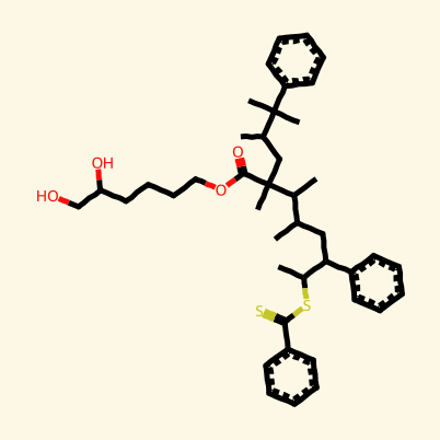 CC(CC(c1ccccc1)C(C)SC(=S)c1ccccc1)C(C)C(C)(CC(C)C(C)(C)c1ccccc1)C(=O)OCCCCC(O)CO